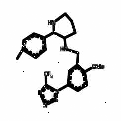 COc1ccc(-n2nnnc2C(F)(F)F)cc1CNC1CCCNC1c1ccc(C)cc1